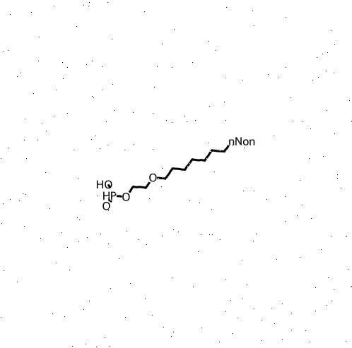 CCCCCCCCCCCCCCCCOCCO[PH](=O)O